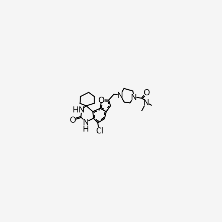 CN(C)C(=O)N1CCN(Cc2cc3cc(Cl)c4c(c3o2)C2(CCCCC2)NC(=O)N4)CC1